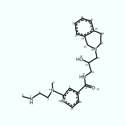 CNCCN(C)c1cc(C(=O)NCC(O)CN2CCc3ccccc3C2)ccn1